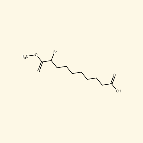 COC(=O)C(Br)CCCCCCCC(=O)O